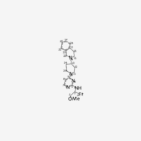 CCC(COC)Nc1nc[c]c(N2CCC(N3CCc4ccccc4C3)CC2)n1